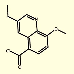 CCc1cnc2c(OC)ccc(C(=O)Cl)c2c1